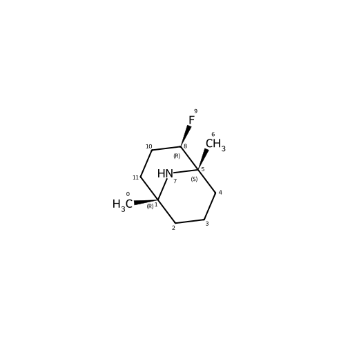 C[C@]12CCC[C@](C)(N1)[C@H](F)CC2